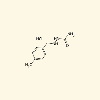 Cc1ccc(CNNC(N)=O)cc1.Cl